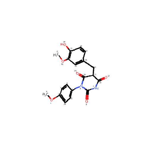 COc1ccc(N2C(=O)NC(=O)C(Cc3ccc(O)c(OC)c3)C2=O)cc1